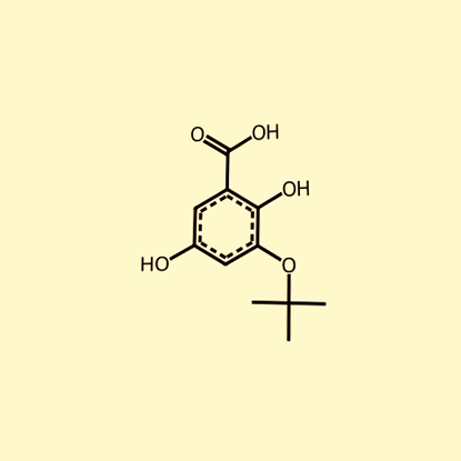 CC(C)(C)Oc1cc(O)cc(C(=O)O)c1O